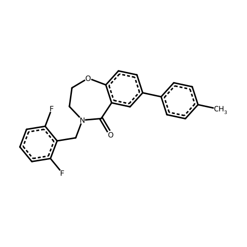 Cc1ccc(-c2ccc3c(c2)C(=O)N(Cc2c(F)cccc2F)CCO3)cc1